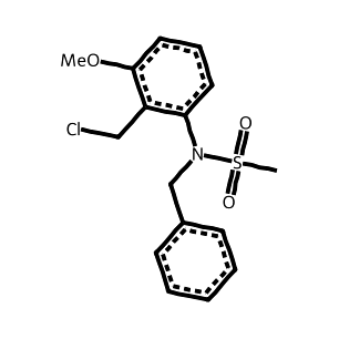 COc1cccc(N(Cc2ccccc2)S(C)(=O)=O)c1CCl